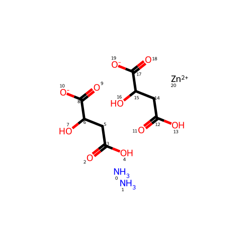 N.N.O=C(O)CC(O)C(=O)[O-].O=C(O)CC(O)C(=O)[O-].[Zn+2]